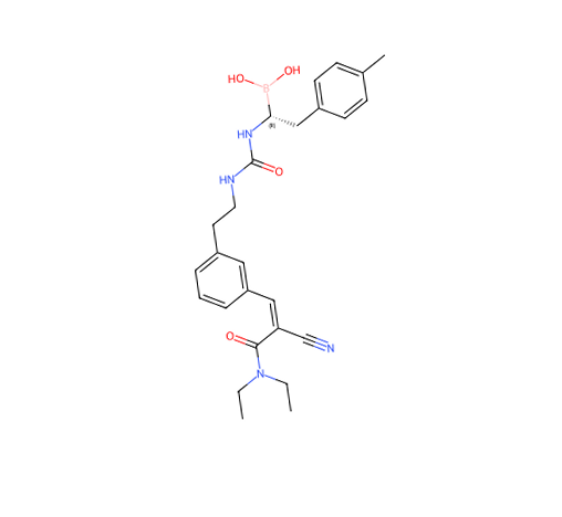 CCN(CC)C(=O)C(C#N)=Cc1cccc(CCNC(=O)N[C@@H](Cc2ccc(C)cc2)B(O)O)c1